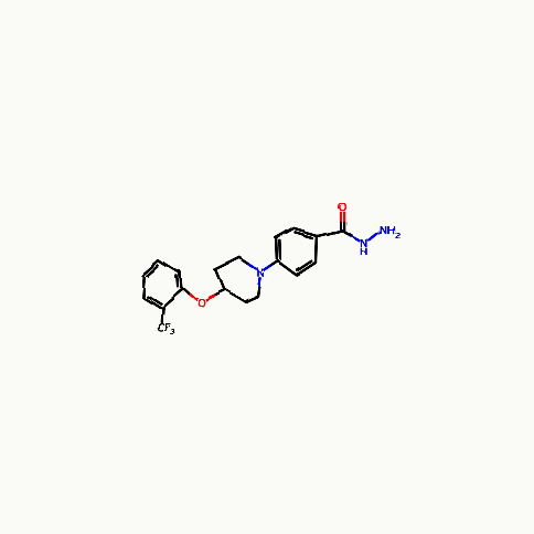 NNC(=O)c1ccc(N2CCC(Oc3ccccc3C(F)(F)F)CC2)cc1